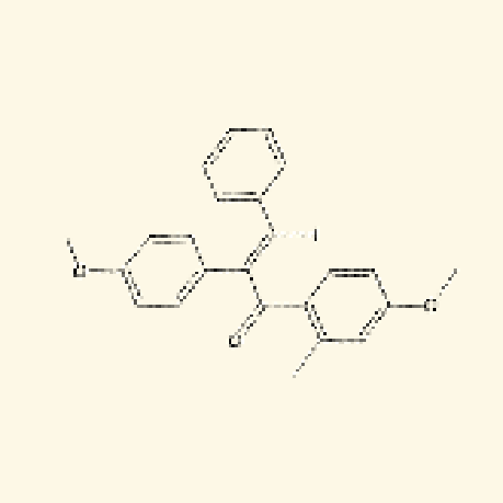 COc1ccc(C(C(=O)c2ccc(OC)cc2C)=C(I)c2ccccc2)cc1